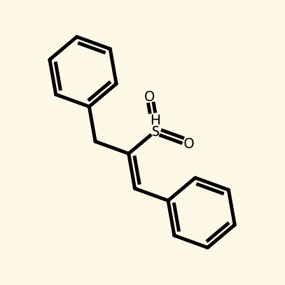 O=[SH](=O)C(=Cc1ccccc1)Cc1ccccc1